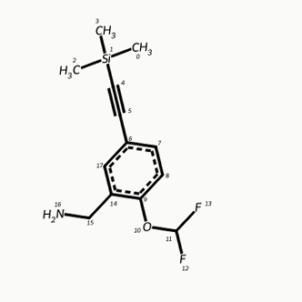 C[Si](C)(C)C#Cc1ccc(OC(F)F)c(CN)c1